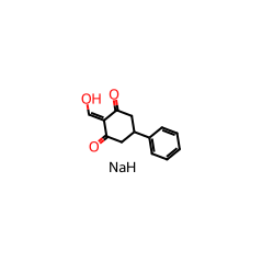 O=C1CC(c2ccccc2)CC(=O)C1=CO.[NaH]